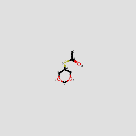 CC(=O)SC1COCOC1